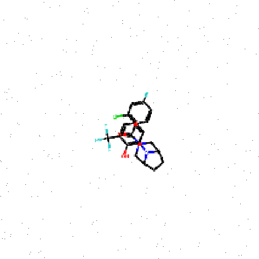 O=C(c1ccc(F)cc1Cl)N1CC2CCC(C1)N2c1cccc(C(F)(F)F)c1O